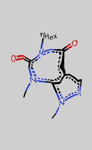 CCCCCCn1c(=O)c2cnn(C)c2n(C)c1=O